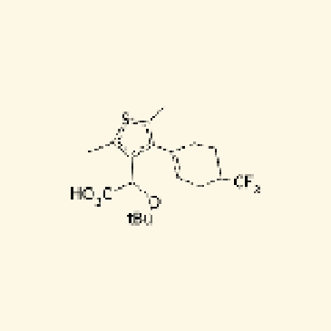 Cc1sc(C)c(C(OC(C)(C)C)C(=O)O)c1C1=CCC(C(F)(F)F)CC1